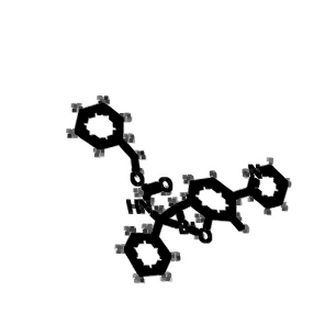 Cc1c(-c2ccccn2)ccc2c1OB1C2C1(NC(=O)OCc1ccccc1)c1ccccc1